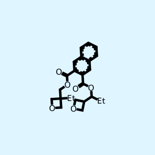 CCC(OC(=O)c1cc2ccccc2cc1C(=O)OCC1(CC)COC1)C1COC1